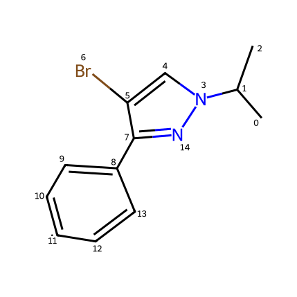 CC(C)n1cc(Br)c(-c2cc[c]cc2)n1